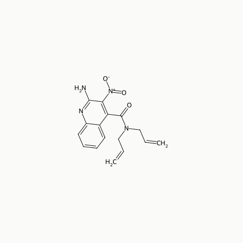 C=CCN(CC=C)C(=O)c1c([N+](=O)[O-])c(N)nc2ccccc12